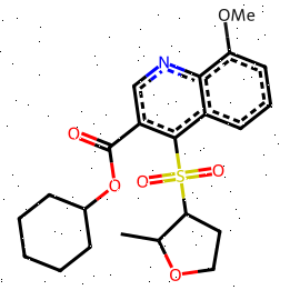 COc1cccc2c(S(=O)(=O)C3CCOC3C)c(C(=O)OC3CCCCC3)cnc12